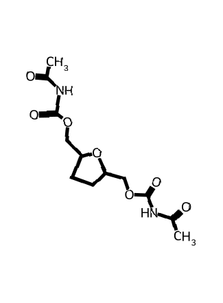 CC(=O)NC(=O)OCC1CCC(COC(=O)NC(C)=O)O1